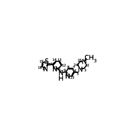 CN1CCN(Cc2ccc(Nc3cccc(-c4nccs4)n3)nc2)CC1